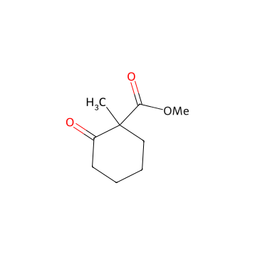 COC(=O)C1(C)CCCCC1=O